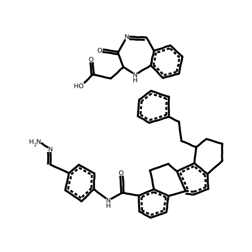 NN=Cc1ccc(NC(=O)c2cccc3c2CCc2c-3ccc3c2C(CCc2ccccc2)CCC3)cc1.O=C(O)CC1Nc2ccccc2C=NC1=O